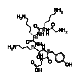 NCCCC[C@H](NC(=O)CN)C(=O)N[C@@H](CCCCN)C(=O)N[C@@H](CCCCN)C(=O)N[C@@H](Cc1ccc(O)cc1)C(=O)NCC(=O)O